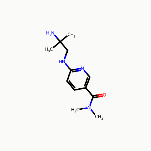 CN(C)C(=O)c1ccc(NCC(C)(C)N)nc1